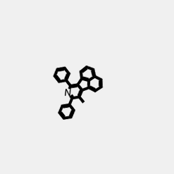 Cc1c(-c2ccccc2)nc(-c2ccccc2)c2c1-c1cccc3cccc-2c13